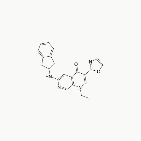 CCn1cc(-c2ncco2)c(=O)c2cc(NC3Cc4ccccc4C3)ncc21